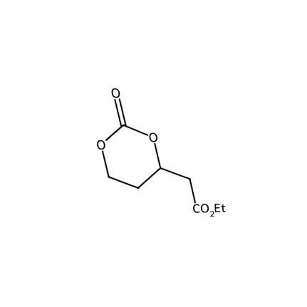 CCOC(=O)CC1CCOC(=O)O1